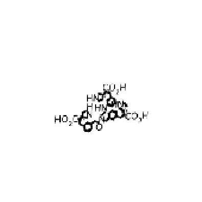 O=C(O)[C@@H](Cc1cccc(CC(=O)N(CCNc2cccc(C[C@H](C(=O)O)[C@H]3CCNC3)c2)Cc2cccc(C[C@H](C(=O)O)[C@H]3CCNC3)c2)c1)[C@H]1CCNC1